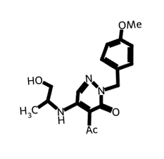 COc1ccc(Cn2ncc(NC(C)CO)c(C(C)=O)c2=O)cc1